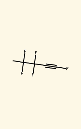 CC(F)(F)C(F)(F)C#CF